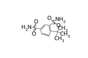 CC(C)(C)c1ccc(S(N)(=O)=O)cc1S(N)(=O)=O